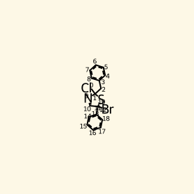 ClC1(Cc2ccccc2)N=CC(Br)(c2ccccc2)S1